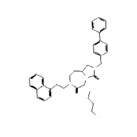 NCCCC[C@@H]1C(=O)N(CCc2cccc3ccccc23)CC[C@H]2CN(Cc3ccc(-c4ccccc4)cc3)C(=O)N21